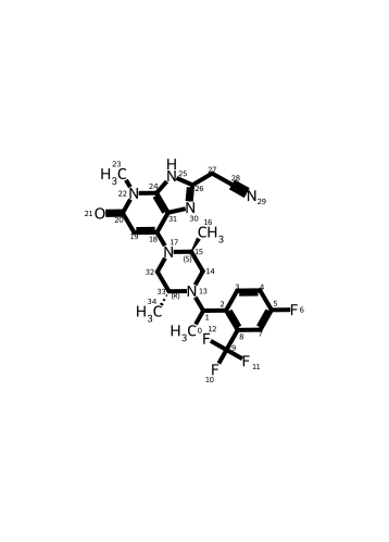 CC(c1ccc(F)cc1C(F)(F)F)N1C[C@H](C)N(c2cc(=O)n(C)c3[nH]c(CC#N)nc23)C[C@H]1C